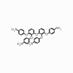 Nc1ccc(Oc2cccc(Oc3cccc(Oc4ccc(N)cc4)c3Oc3ccc(N)cc3)c2Oc2ccc(N)cc2)cc1